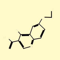 CCOc1ccc2ncc(C(=O)O)c(N)c2c1